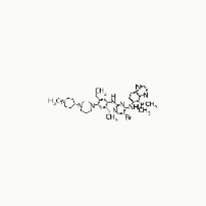 CCc1cc(N2CCCN(C3CCN(C)CC3)CC2)c(CC)cc1Nc1ncc(Br)c(Nc2ccc3nccnc3c2P(C)C)n1